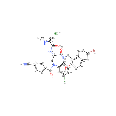 CN[C@@H](C)C(=O)N[C@H]1CN(C(=O)c2ccc(C#N)cc2)c2cc(Cl)ccc2N(Cc2c(OC)ccc3cc(Br)ccc23)C1=O.Cl